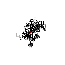 COCOc1cc(Oc2nc3nc(OCC45CCCN4CCC5)nc(N4CC5CCC(C(C)(C)C)(C4)N5C(=O)Oc4cc(Oc5nc6nc(OCC78CCCN7CCC8)nc(N7CC8CCC(C7)N8)c6n5C)c5c(C#C[Si](C(C)C)(C(C)C)C(C)C)c(F)ccc5c4)c3n2C)c2c(C#C[Si](C(C)C)(C(C)C)C(C)C)c(F)ccc2c1